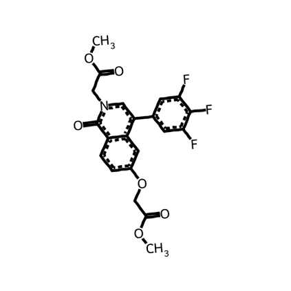 COC(=O)COc1ccc2c(=O)n(CC(=O)OC)cc(-c3cc(F)c(F)c(F)c3)c2c1